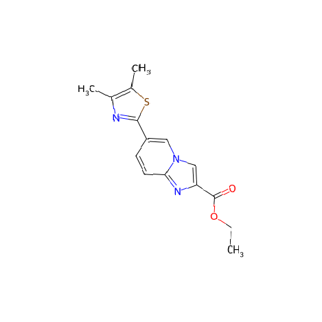 CCOC(=O)c1cn2cc(-c3nc(C)c(C)s3)ccc2n1